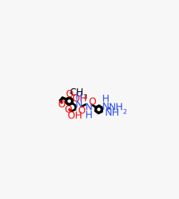 COc1c(O)c(C(CC(=O)O)NC(=O)CNC(=O)c2cccc(NC(=N)N)c2)cc2occc12